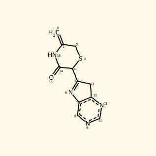 C=C1CSC(C2=Nc3cncnc3C2)C(=O)N1